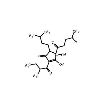 CCC(C)C(=O)C1=C(O)[C@@](O)(C(=O)CCC(C)I)C(CCC(C)C)C1=O